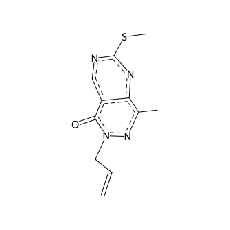 C=CCn1nc(C)c2nc(SC)ncc2c1=O